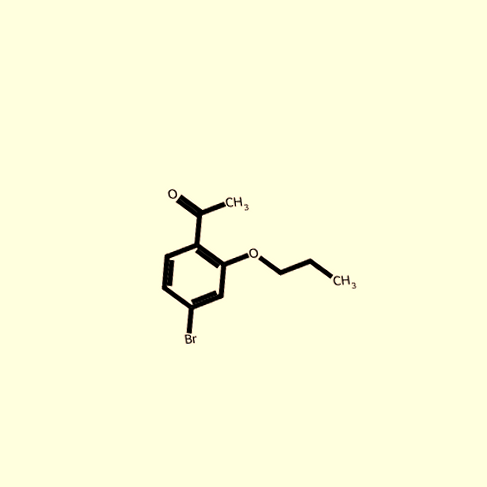 CCCOc1cc(Br)ccc1C(C)=O